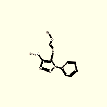 CCO/C=N/c1c(C(=O)OCC)nnn1-c1ccccc1